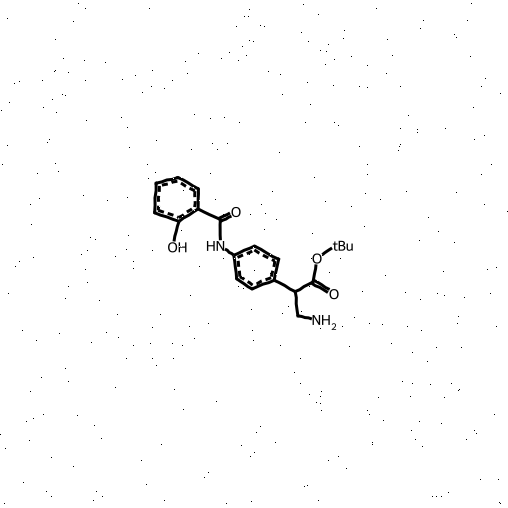 CC(C)(C)OC(=O)C(CN)c1ccc(NC(=O)c2ccccc2O)cc1